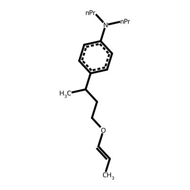 CC=COCCC(C)c1ccc(N(CCC)CCC)cc1